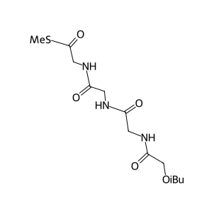 CSC(=O)CNC(=O)CNC(=O)CNC(=O)COCC(C)C